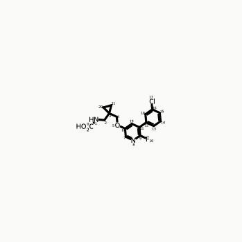 O=C(O)NCC1(COc2cnc(F)c(-c3cccc(Cl)c3)c2)CC1